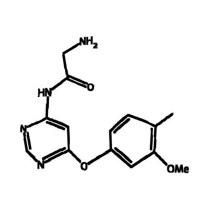 COc1cc(Oc2cc(NC(=O)CN)ncn2)ccc1C